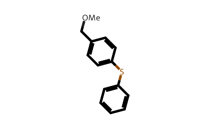 COCc1ccc(Sc2ccccc2)cc1